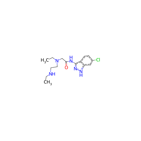 CCNCCN(CC)CC(=O)Nc1n[nH]c2cc(Cl)ccc12